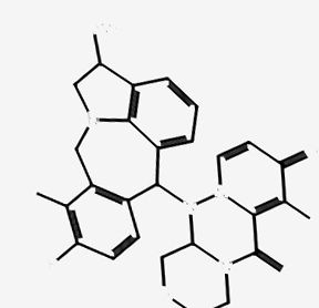 COC1CN2Cc3c(ccc(F)c3F)C(N3C4COCCN4C(=O)c4c(O)c(=O)ccn43)c3cccc1c32